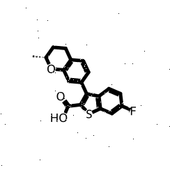 C[C@@H]1CCc2ccc(-c3c(C(=O)O)sc4cc(F)ccc34)cc2O1